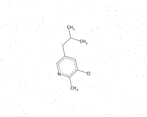 Cc1ncc(CC(C)C)cc1Cl